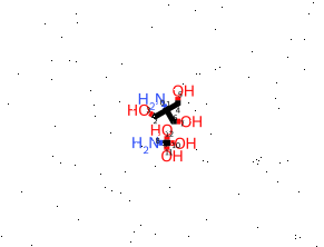 NC(CO)(CO)CO.NC(O)(O)O